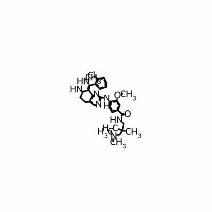 CN/C(=C1\C(=N)CCc2cnc(Nc3ccc(C(=O)NCC(C)(C)CN(C)C)cc3OC)nc21)c1ccccc1Cl